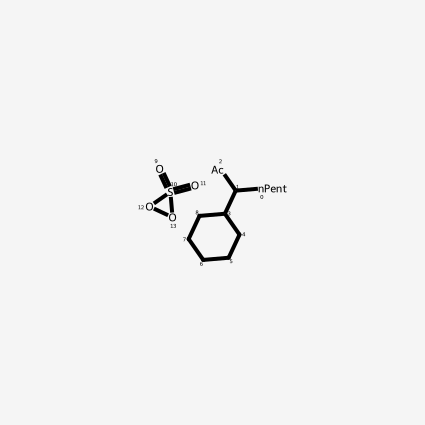 CCCCCC(C(C)=O)C1CCCCC1.O=S1(=O)OO1